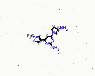 Nc1nc(-c2cnn(C(F)(F)F)c2)cc(N2CC[C@@H](N)C2)n1